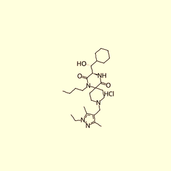 CCCCN1C(=O)[C@@H]([C@H](O)C2CCCCC2)NC(=O)C12CCN(Cc1c(C)nn(CC)c1C)CC2.Cl